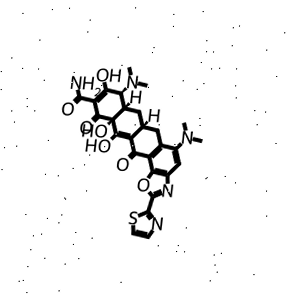 CN(C)c1cc2nc(-c3nccs3)oc2c2c1C[C@H]1C[C@H]3[C@H](N(C)C)C(O)=C(C(N)=O)C(=O)[C@@]3(O)C(O)=C1C2=O